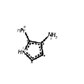 CCCc1[nH]ccc1N